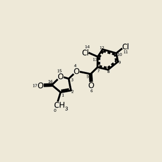 CC1=CC(OC(=O)c2ccc(Cl)cc2Cl)OC1=O